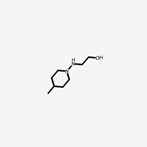 CC1CCN(NCCO)CC1